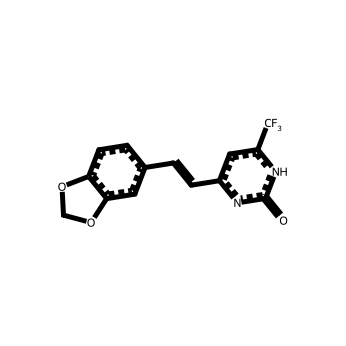 O=c1nc(C=Cc2ccc3c(c2)OCO3)cc(C(F)(F)F)[nH]1